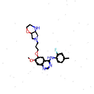 COc1cc2ncnc(Nc3ccc(C)cc3F)c2cc1OCCCN1CC2NCCOC2C1